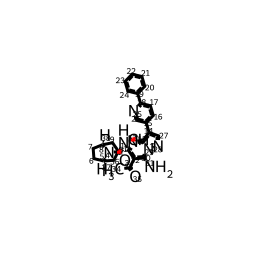 CNC(=O)N1[C@@H]2CC[C@H]1C[C@H](c1nc3c(-c4ccc(-c5ccccc5)nc4)cnn3c(N)c1C(C)=O)C2